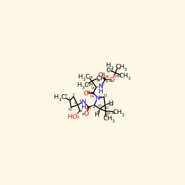 CC1CC(CO)(NC(=O)[C@@H]2[C@@H]3[C@H](CN2C(=O)[C@@H](NC(=O)OC(C)(C)C)C(C)(C)C)C3(C)C)C1